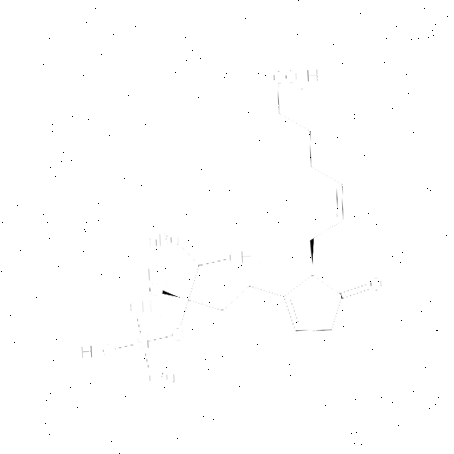 CCCCC(C)[C@](C)(CCC1=CCC(=O)[C@@H]1C/C=C\CCCC(=O)O)O[Si](C)(C)C(C)(C)C